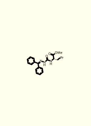 COC(=O)[C@H](CC(C)C)NC(=O)NN=C(c1ccccc1)c1ccccc1